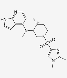 Cc1nc(S(=O)(=O)N2CC[C@@H](C)C(N(C)c3ccnc4[nH]ccc34)C2)cn1C